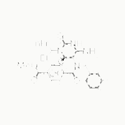 CCCC(CC)n1c(=O)[nH]c(N)c(N(Cc2ccccc2)C(=O)C23CCC(C(=O)OC)(CC2)CC3)c1=O